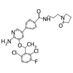 CC(Oc1cc(-c2ccc(C(=O)NCCCN3CCCC3=O)cc2)cnc1N)c1c(Cl)ccc(F)c1Cl